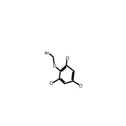 CC(=O)COc1c(Cl)cc(Cl)cc1Cl